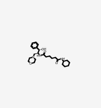 O=C(CCCCC(=O)N[C@@H](CN1CCOCC1)[C@@H](O)c1ccccc1)NC1CCCCC1